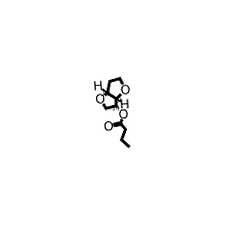 CCCC(=O)O[C@@H]1CO[C@@H]2CCO[C@@H]21